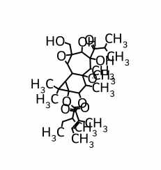 C/C=C(\C)C(=O)OC1C(C)C2(OC)C(C3OC3(CO)C(O)C(O)(C(=O)C(C)C)C2C)C2C(C)(C)C12OC(=O)C(C)CC